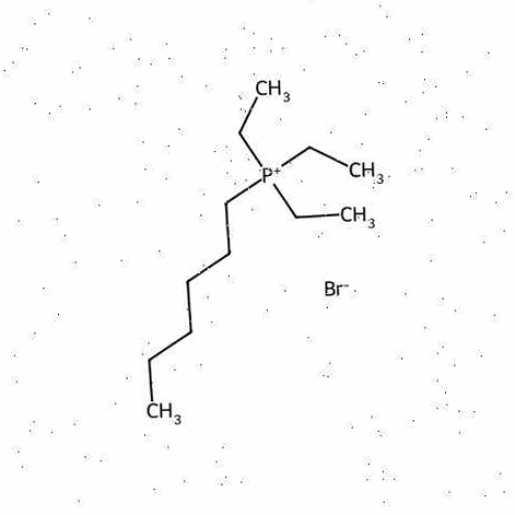 CCCCCC[P+](CC)(CC)CC.[Br-]